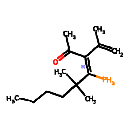 C=C(C)/C(C(C)=O)=C(\P)C(C)(C)CCCC